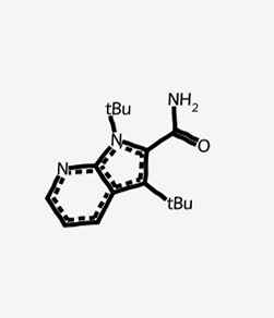 CC(C)(C)c1c(C(N)=O)n(C(C)(C)C)c2ncccc12